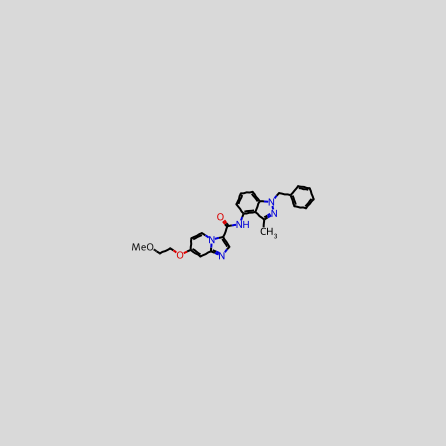 COCCOc1ccn2c(C(=O)Nc3cccc4c3c(C)nn4Cc3ccccc3)cnc2c1